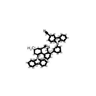 CC1C=C(C#N)C(c2cccc(-c3cccc(-n4c5ccccc5c5cc(C#N)ccc54)c3)c2C#N)=C(n2c3ccccc3c3ccccc32)C1